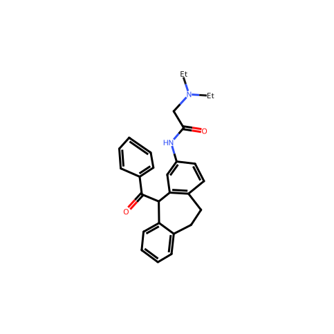 CCN(CC)CC(=O)Nc1ccc2c(c1)C(C(=O)c1ccccc1)c1ccccc1CC2